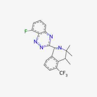 CC1c2c(cccc2C(F)(F)F)C(c2nnc3c(F)cccc3n2)=NC1(C)C